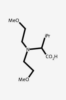 COCCN(CCOC)C(C(=O)O)C(C)C